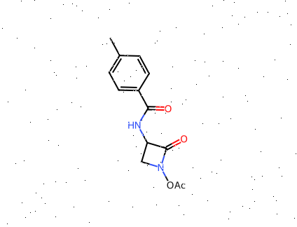 CC(=O)ON1CC(NC(=O)c2ccc(C)cc2)C1=O